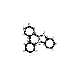 c1ccc2c(c1)nc1c3ccncc3c3ccccc3n21